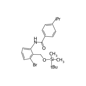 CC(C)c1ccc(C(=O)Nc2cccc(Br)c2CO[Si](C)(C)C(C)(C)C)cc1